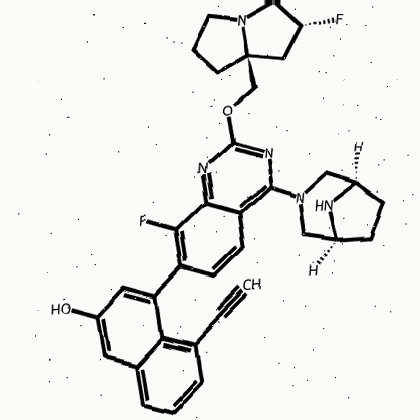 C#Cc1cccc2cc(O)cc(-c3ccc4c(N5C[C@H]6CC[C@@H](C5)N6)nc(OC[C@@]56CCCN5C[C@H](F)C6)nc4c3F)c12